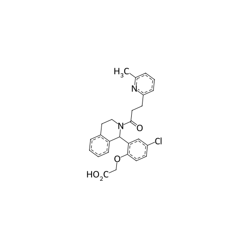 Cc1cccc(CCC(=O)N2CCc3ccccc3C2c2cc(Cl)ccc2OCC(=O)O)n1